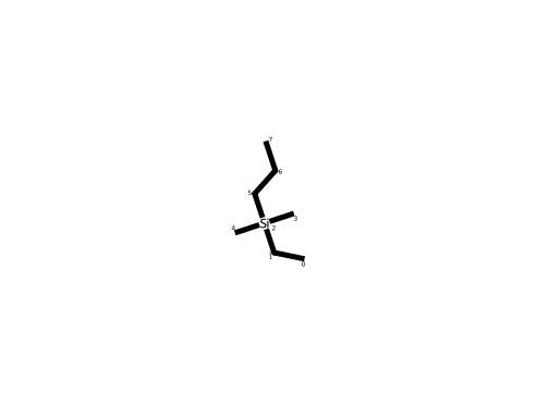 C[CH][Si](C)(C)CCC